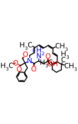 COC(=O)C(C=O)(Cc1ccccc1)N(C/C=C(\C)C=CC=C(C)C=CC1=C(C)CCCC1(C)C)C(=O)C(N)CC(=O)O